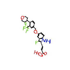 O=C(O)CCc1[nH]c2ccc(OCc3ccc(C4CCOCC4)c(C(F)(F)F)c3)cc2c1F